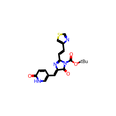 CC(C)(C)OC(=O)N1C(=O)/C(=C/c2ccc(=O)[nH]c2)N=C1/C=C/c1cscn1